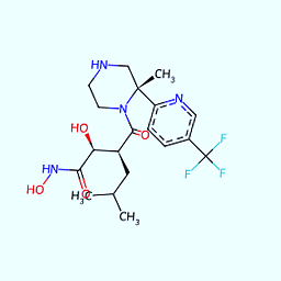 CC(C)C[C@H](C(=O)N1CCNC[C@]1(C)c1ccc(C(F)(F)F)cn1)[C@H](O)C(=O)NO